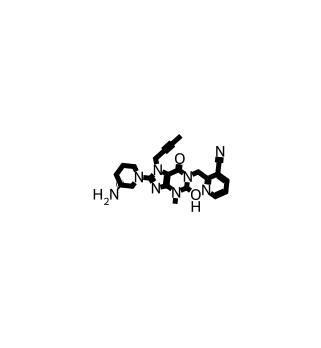 CC#CCn1c(N2CCC[C@@H](N)C2)nc2c1C(=O)N(Cc1ncccc1C#N)C(O)N2C